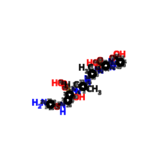 Cc1cc(N=Nc2c(SOOO)cc3cc(NCOc4ccc(N)cc4)ccc3c2O)c(C)cc1N=Nc1ccc(N=Nc2cc3nn(-c4ccccc4C(=O)O)nc3cc2S(=O)(=O)O)c(C)c1